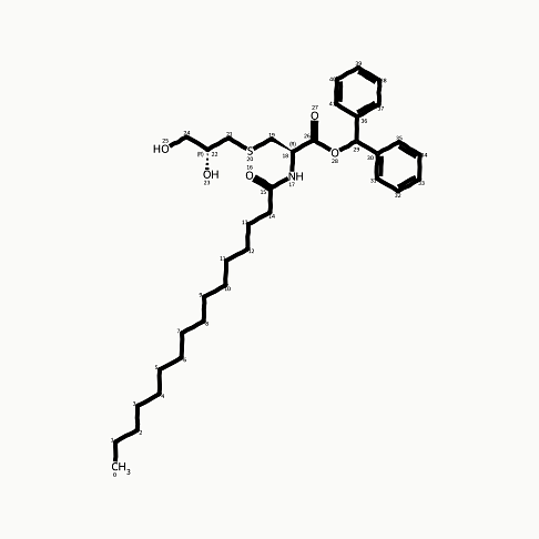 CCCCCCCCCCCCCCCC(=O)N[C@@H](CSC[C@H](O)CO)C(=O)OC(c1ccccc1)c1ccccc1